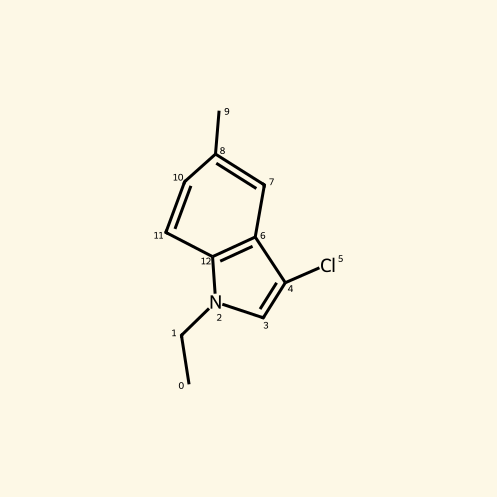 CCn1cc(Cl)c2cc(C)ccc21